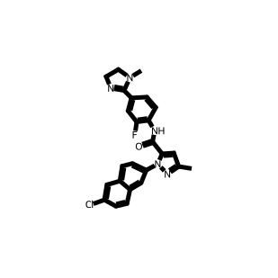 Cc1cc(C(=O)Nc2ccc(C3=NCCN3C)cc2F)n(-c2ccc3cc(Cl)ccc3c2)n1